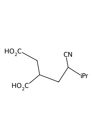 CC(C)C(C#N)CC(CC(=O)O)C(=O)O